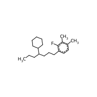 CCCC(CCCc1ccc(C)c(C)c1F)C1CCCCC1